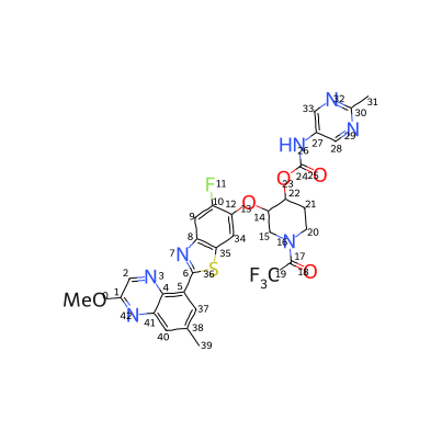 COc1cnc2c(-c3nc4cc(F)c(OC5CN(C(=O)C(F)(F)F)CCC5OC(=O)Nc5cnc(C)nc5)cc4s3)cc(C)cc2n1